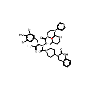 NC(=O)[C@@H](Cc1cc(Br)c(O)c(Br)c1)N(C(=O)N1CCC(N2Cc3ccccc3NC2=O)CC1)[C@@H](CC1CCNCC1)C(=O)N1CCN(c2ccncc2)CC1